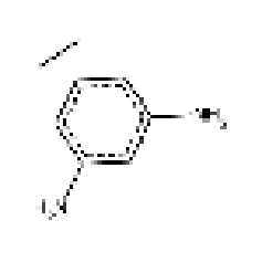 CC.Nc1cccc(N)c1